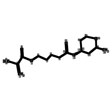 C=C(C)C(=O)OCCCCC(=O)O[C@H]1CCOC(C)C1